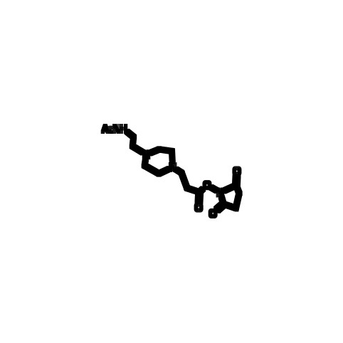 [13CH3][13C](=O)NCCN1CCN(CCC(=O)ON2C(=O)CCC2=O)CC1